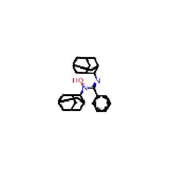 ON(C(=NC1C2CC3CC(C2)CC1C3)c1ccccc1)C1C2CC3CC(C2)CC1C3